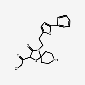 O=C(CCl)C1SC2(CCNCC2)N(CCc2ccc(-c3ccccc3)o2)C1=O